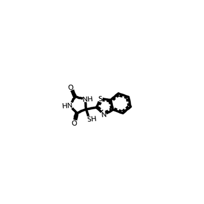 O=C1NC(=O)C(S)(c2nc3ccccc3s2)N1